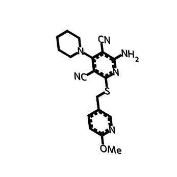 COc1ccc(CSc2nc(N)c(C#N)c(N3CCCCC3)c2C#N)cn1